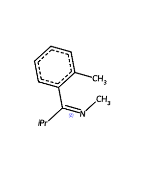 C/N=C(\c1ccccc1C)C(C)C